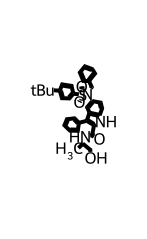 CC(CO)NC(=O)c1[nH]c2ccc(N(Cc3ccccc3)S(=O)(=O)c3ccc(C(C)(C)C)cc3)cc2c1-c1ccccc1